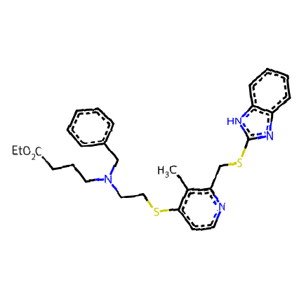 CCOC(=O)CCCN(CCSc1ccnc(CSc2nc3ccccc3[nH]2)c1C)Cc1ccccc1